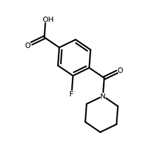 O=C(O)c1ccc(C(=O)N2CCCCC2)c(F)c1